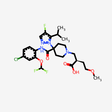 COCC[C@H](CN1CCC(C(=O)Nc2ccc(Cl)cc2OC(F)F)(n2ncc(F)c2C(C)C)CC1)C(=O)O